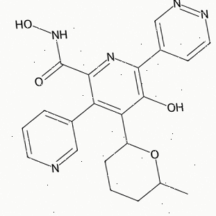 CC1CCCC(c2c(O)c(-c3ccnnc3)nc(C(=O)NO)c2-c2cccnc2)O1